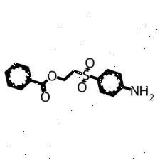 Nc1ccc(S(=O)(=O)CCOC(=O)c2ccccc2)cc1